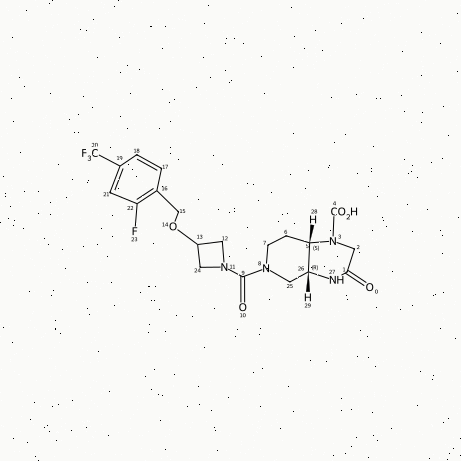 O=C1CN(C(=O)O)[C@H]2CCN(C(=O)N3CC(OCc4ccc(C(F)(F)F)cc4F)C3)C[C@H]2N1